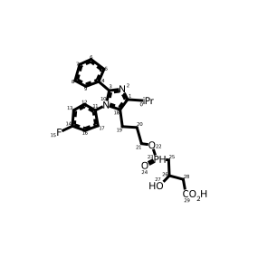 CC(C)c1nc(-c2ccccc2)n(-c2ccc(F)cc2)c1CCCO[PH](=O)CC(O)CC(=O)O